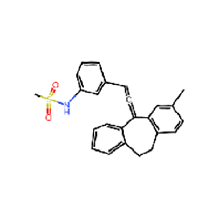 Cc1ccc2c(c1)C(=C=Cc1cccc(NS(C)(=O)=O)c1)c1ccccc1CC2